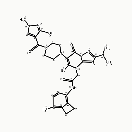 CCc1c(N2CCN(C(=O)c3cn(C)nc3O)CC2)c(=O)n2nc(N(C)C)nc2n1CC(=O)Nc1ccc(C(F)(F)F)c2c1CC2